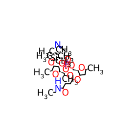 CCNC(=O)CCC(=O)OC1C[C@H](C)O[C@@H]1COP(=O)(OCCC#N)OC1[C@@H](CC)O[C@@H](C)[C@H]1O[Si](C)(C)C(C)(C)C